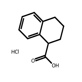 Cl.O=C(O)C1CCCc2ccccc21